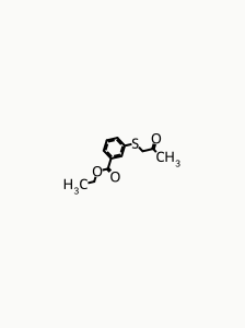 CCOC(=O)c1cccc(SCC(C)=O)c1